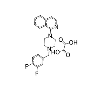 Fc1ccc(CN2CCN(c3nccc4ccccc34)CC2)cc1F.O=C(O)C(=O)O